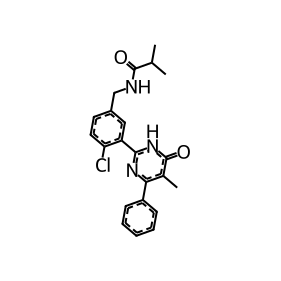 Cc1c(-c2ccccc2)nc(-c2cc(CNC(=O)C(C)C)ccc2Cl)[nH]c1=O